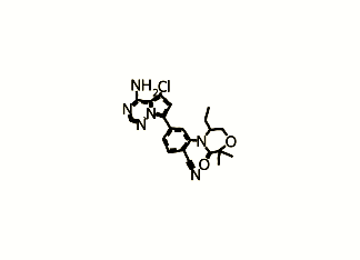 CCC1COC(C)(C)C(=O)N1c1cc(-c2cc(Cl)c3c(N)ncnn23)ccc1C#N